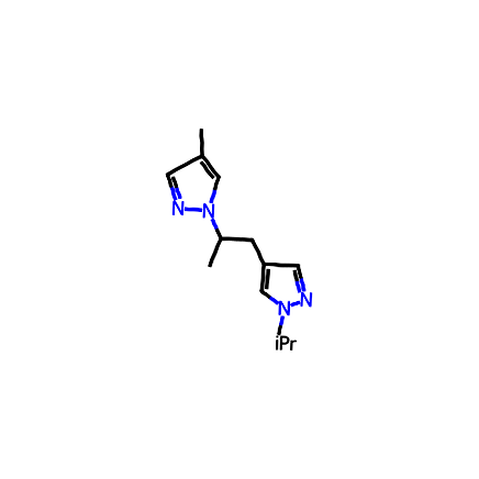 Cc1cnn(C(C)Cc2cnn(C(C)C)c2)c1